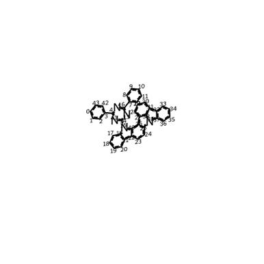 c1ccc(-c2nc(-c3ccccc3)nc(-n3c4ccccc4c4ccc5c(c6cccc7c8ccccc8n5c76)c43)n2)cc1